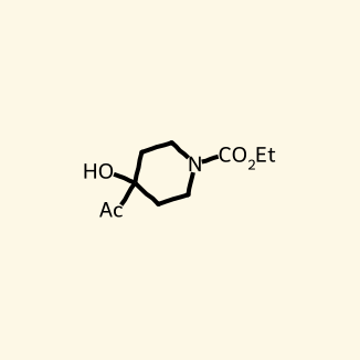 CCOC(=O)N1CCC(O)(C(C)=O)CC1